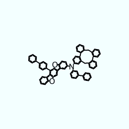 c1ccc(-c2ccc(-c3c4oc5ccc(N(c6cccc(-c7ccccc7)c6)c6ccc7c(c6)Cc6ccccc6-c6ccccc6Cc6ccccc6-7)cc5c4cc4oc5ccccc5c34)cc2)cc1